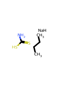 CCCC.NC(=S)S.[NaH]